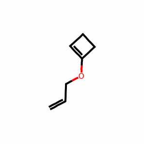 C=CCOC1=CCC1